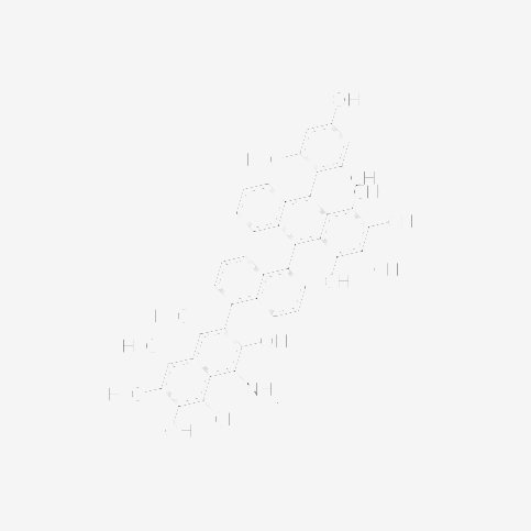 Cc1cc(O)cc(C)c1-c1c2ccccc2c(-c2cccc3c(-c4c(O)c(N)c5c(C)c(O)c(C)c(C)c5c4C)cccc23)c2c(C)c(C)c(C)c(C)c12